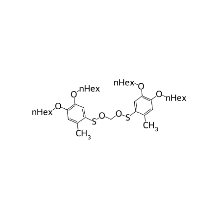 CCCCCCOc1cc(C)c(SOCOSc2cc(OCCCCCC)c(OCCCCCC)cc2C)cc1OCCCCCC